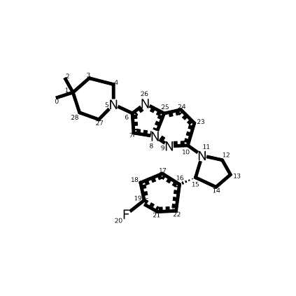 CC1(C)CCN(c2[c]n3nc(N4CCC[C@@H]4c4ccc(F)cc4)ccc3n2)CC1